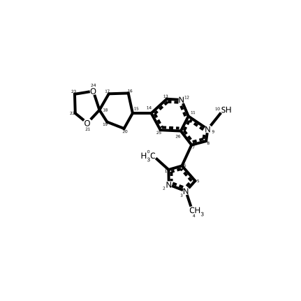 Cc1nn(C)cc1-c1cn(S)c2ncc(C3CCC4(CC3)OCCO4)cc12